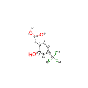 COC(=O)Cc1ccc(C(F)(F)F)cc1O